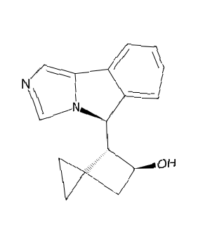 O[C@H]1CC2(CC2)[C@@H]1[C@@H]1c2ccccc2-c2cncn21